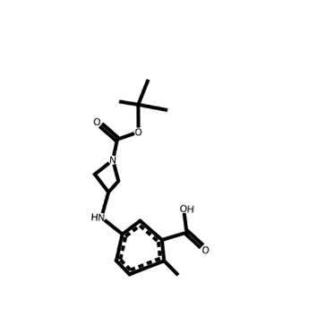 Cc1ccc(NC2CN(C(=O)OC(C)(C)C)C2)cc1C(=O)O